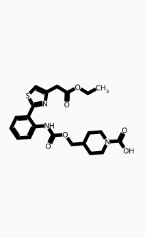 CCOC(=O)Cc1csc(-c2ccccc2NC(=O)OCC2CCN(C(=O)O)CC2)n1